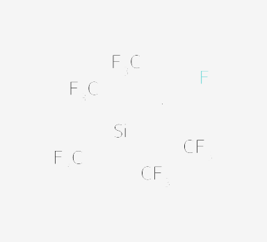 FC(F)(F)C(F)(C(F)(F)F)[Si](C(F)(F)F)(C(F)(F)F)C(F)(F)F